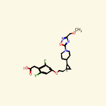 COCc1noc(N2CCC(C3C[C@H]3CCOc3cc(F)c(CC(=O)O)c(F)c3)CC2)n1